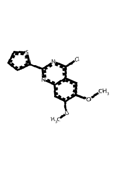 COc1cc2nc(-c3cccs3)nc(Cl)c2cc1OC